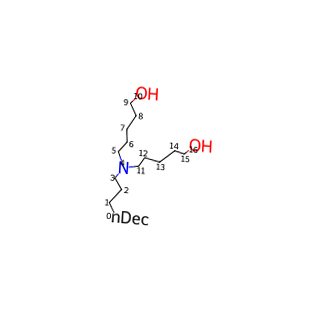 CCCCCCCCCCCCCN(CCCCCO)CCCCCO